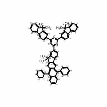 CC1(C)c2ccccc2-c2ccc(-c3nc(-c4ccc5c(c4)C(C)(C)c4ccccc4-5)nc(-c4ccc5c(c4)C(C)(C)c4cc6c(-c7ccccc7)c7ccccc7c(-c7ccccc7)c6cc4-5)n3)cc21